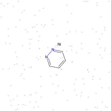 [Ni].c1ccnnc1